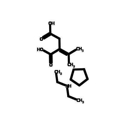 C1CCCC1.CC(C)=C(CC(=O)O)C(=O)O.CCNCC